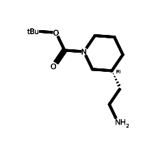 CC(C)(C)OC(=O)N1CCC[C@H](CCN)C1